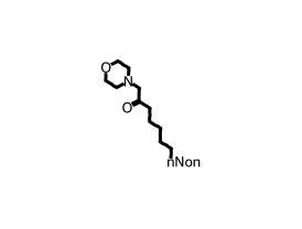 CCCCCCCCCCCCCCC(=O)CN1CCOCC1